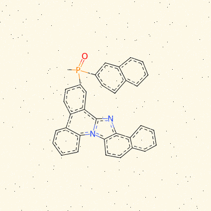 CP(=O)(c1ccc2ccccc2c1)c1ccc2c3ccccc3n3c4ccc5ccccc5c4nc3c2c1